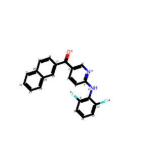 O=C(c1ccc(Nc2c(F)cccc2F)nc1)c1ccc2ccccc2c1